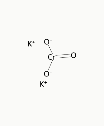 [K+].[K+].[O]=[Cr]([O-])[O-]